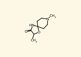 CC1OC2(CCN(C)CC2)NC1=O